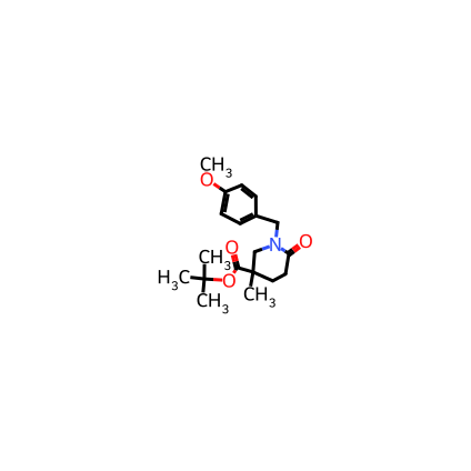 COc1ccc(CN2CC(C)(C(=O)OC(C)(C)C)CCC2=O)cc1